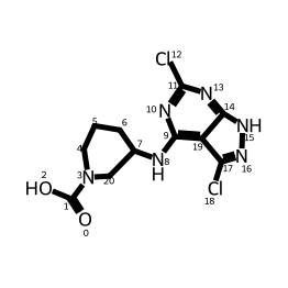 O=C(O)N1CCCC(Nc2nc(Cl)nc3[nH]nc(Cl)c23)C1